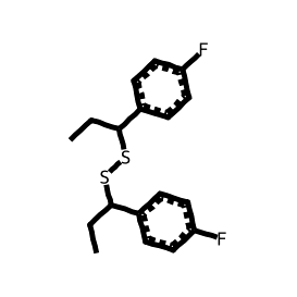 CCC(SSC(CC)c1ccc(F)cc1)c1ccc(F)cc1